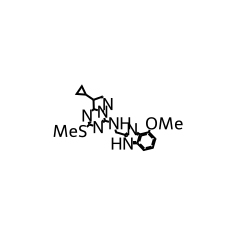 COc1cccc2[nH]c(CNC3=NC(SC)=NC4C(C5CC5)C=NN34)nc12